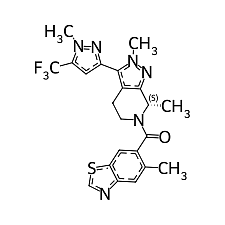 Cc1cc2ncsc2cc1C(=O)N1CCc2c(nn(C)c2-c2cc(C(F)(F)F)n(C)n2)[C@@H]1C